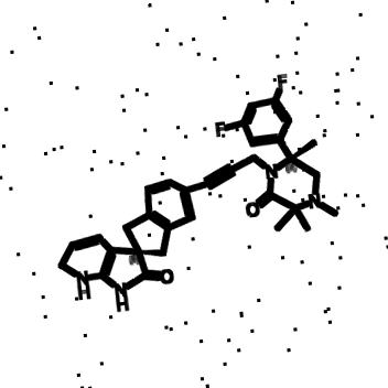 CN1C[C@@](C)(c2cc(F)cc(F)c2)N(CC#Cc2ccc3c(c2)C[C@@]2(C3)C(=O)NC3=C2C=CCN3)C(=O)C1(C)C